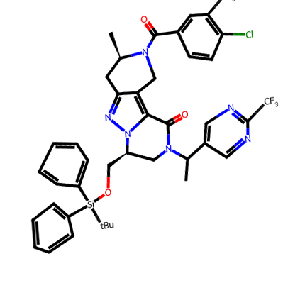 CC(c1cnc(C(F)(F)F)nc1)N1C[C@@H](CO[Si](c2ccccc2)(c2ccccc2)C(C)(C)C)n2nc3c(c2C1=O)CN(C(=O)c1ccc(Cl)c(C(F)(F)F)c1)[C@H](C)C3